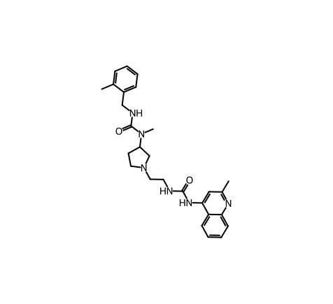 Cc1cc(NC(=O)NCCN2CCC(N(C)C(=O)NCc3ccccc3C)C2)c2ccccc2n1